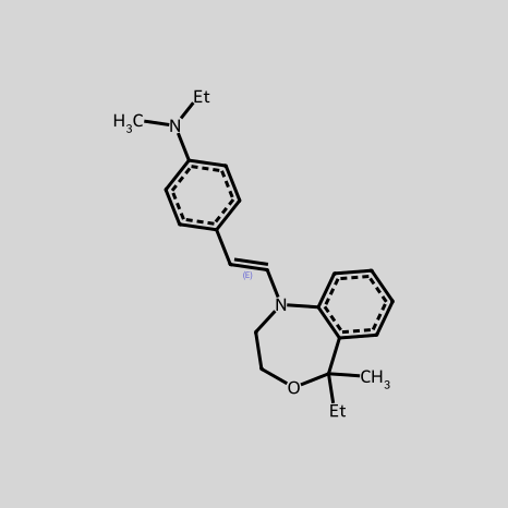 CCN(C)c1ccc(/C=C/N2CCOC(C)(CC)c3ccccc32)cc1